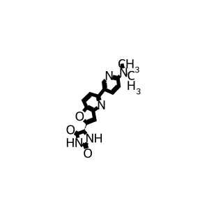 CN(C)c1ccc(-c2ccc3oc([C@@H]4NC(=O)NC4=O)cc3n2)cn1